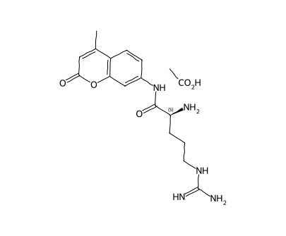 CC(=O)O.Cc1cc(=O)oc2cc(NC(=O)[C@@H](N)CCCNC(=N)N)ccc12